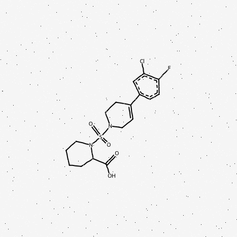 O=C(O)C1CCCCN1S(=O)(=O)N1CC=C(c2ccc(F)c(Cl)c2)CC1